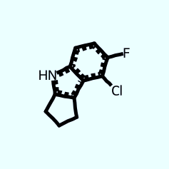 Fc1ccc2[nH]c3c(c2c1Cl)CCC3